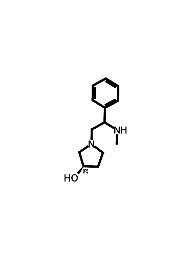 CNC(CN1CC[C@@H](O)C1)c1ccccc1